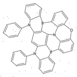 c1ccc(N2c3ccccc3B3c4cccc5c4N4c6c(cccc6B6c7ccccc7N(c7ccccc7)c7cc2c3c4c76)O5)cc1